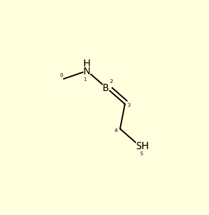 CNB=CCS